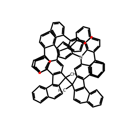 CC1(C2(C)c3cc(N(c4ccccc4-c4ccccc4)c4ccccc4-c4ccccc4)c4c(c3-c3c2ccc2ccccc32)CCCC4)C2=C(c3c1ccc1ccccc31)C1C=CC=CC1C(N(c1ccccc1-c1ccccc1)c1ccccc1-c1ccccc1)=C2